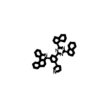 c1cncc(-c2cc(-c3nc(-c4cccc5ccccc45)nc(-c4cccc5ccccc45)n3)cc(-c3nc4ccccc4c4c3ccc3ccccc34)c2)c1